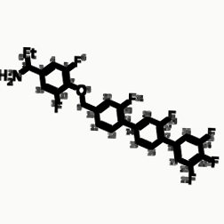 CCC(N)c1cc(F)c(OCc2ccc(-c3ccc(-c4cc(F)c(F)c(F)c4)c(F)c3)c(F)c2)c(F)c1